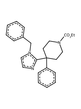 CCOC(=O)N1CCC(c2ccccc2)(c2nccn2Cc2ccccc2)CC1